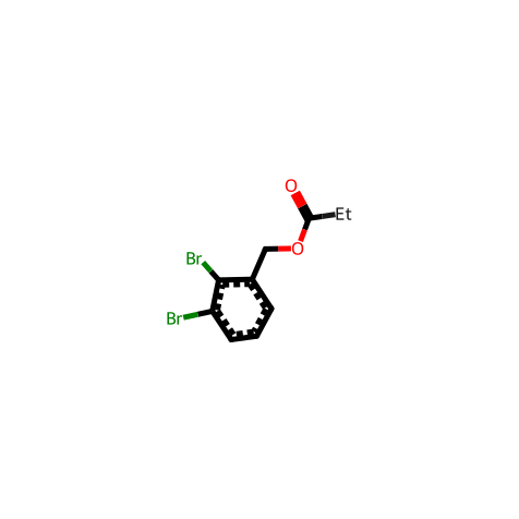 CCC(=O)OCc1cccc(Br)c1Br